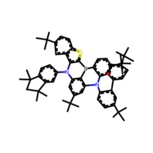 CC(C)(C)c1ccc(-c2cc(C(C)(C)C)ccc2N2c3cc(C(C)(C)C)ccc3B3c4sc5ccc(C(C)(C)C)cc5c4N(c4ccc5c(c4)C(C)(C)CC5(C)C)c4cc(C(C)(C)C)cc2c43)cc1